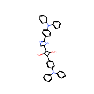 OC1C(c2ccc(N(c3ccccc3)c3ccccc3)cc2)C(O)C1c1cnc(-c2ccc(N(c3ccccc3)c3ccccc3)cc2)[nH]1